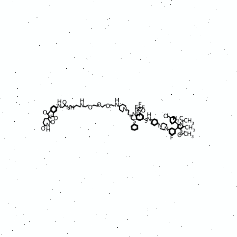 Cc1c([S+](C)[O-])c(-c2cc(F)cc(N3CCN(c4ccc(NSc5ccc(N[C@H](CCN6CCC(NCCOCCOCCOCCNCCCCNC(=O)CNc7ccc8c(c7)C(=O)N(C7CCC(=O)NC7=O)C8=O)CC6)CSc6ccccc6)c(S(=O)(=O)C(F)(F)F)c5)cc4)CC3)c2)c(-c2ccc(Cl)cc2)n1C(C)C